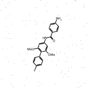 COc1cc(NC(=O)c2ccc(N)cc2)cc(OC)c1-c1ccc(F)cc1